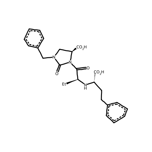 CC[C@H](N[C@@H](CCc1ccccc1)C(=O)O)C(=O)N1C(=O)N(Cc2ccccc2)C[C@H]1C(=O)O